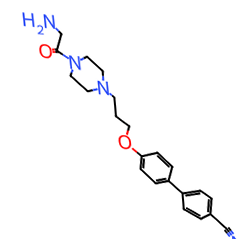 N#Cc1ccc(-c2ccc(OCCCN3CCN(C(=O)CN)CC3)cc2)cc1